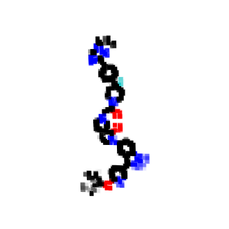 CC(C)Oc1ccc(C2NNc3ccc(N4CC[C@]5(CCN(CC(=O)N6CCC(F)(c7ccc(-c8ncn(C)n8)cc7)CC6)C5)C4=O)cc32)cn1